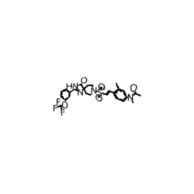 CC(=O)N(C)c1ccc(/C=C/S(=O)(=O)N2CCC3(CC2)N=C(c2cccc(OC(F)(F)F)c2)NC3=O)c(C)c1